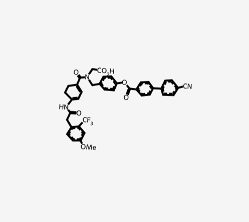 COc1ccc(CC(=O)NC2=CC=C(C(=O)N(CC(=O)O)Cc3ccc(OC(=O)c4ccc(-c5ccc(C#N)cc5)cc4)cc3)CC2)c(C(F)(F)F)c1